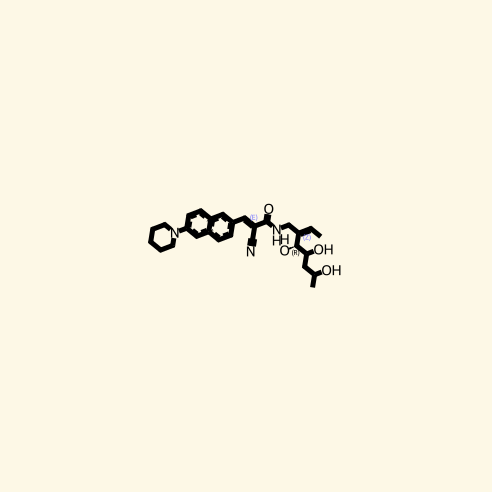 C/C=C(/CNC(=O)/C(C#N)=C/c1ccc2cc(N3CCCCC3)ccc2c1)[C@@H](O)C(O)CC(C)O